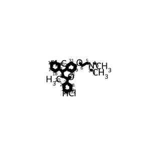 CCN(CC)CCOc1ccc(C(c2ccccc2)C(C)C(=O)c2ccccc2)c(C)c1.Cl